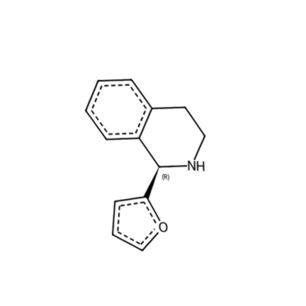 c1coc([C@@H]2NCCc3ccccc32)c1